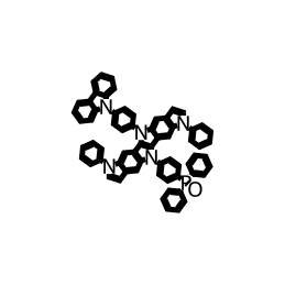 O=P(c1ccccc1)(c1ccccc1)c1ccc(-n2c3cc4ccn(-c5ccccc5)c4cc3c3c2c2cc4c(ccn4-c4ccccc4)cc2n3-c2ccc(-n3c4ccccc4c4ccccc43)cc2)cc1